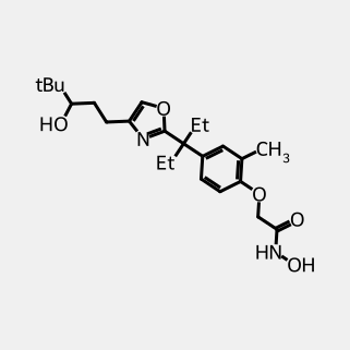 CCC(CC)(c1ccc(OCC(=O)NO)c(C)c1)c1nc(CCC(O)C(C)(C)C)co1